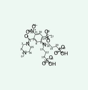 CN1CCN(C(=O)c2cc(N(CCCS(=O)(=O)O)CCCS(=O)(=O)O)c(S(C)(=O)=O)cc2[N+](=O)[O-])CC1